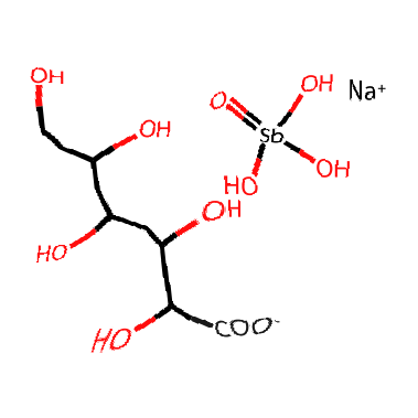 O=C([O-])C(O)C(O)C(O)C(O)CO.[Na+].[O]=[Sb]([OH])([OH])[OH]